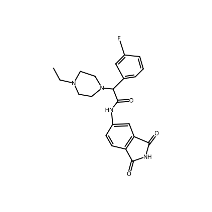 CCN1CCN(C(C(=O)Nc2ccc3c(c2)C(=O)NC3=O)c2cccc(F)c2)CC1